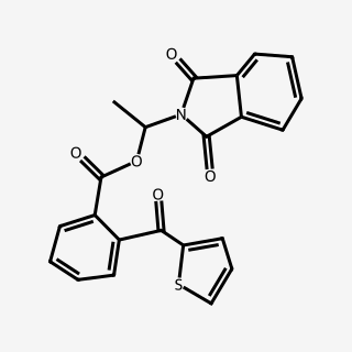 CC(OC(=O)c1ccccc1C(=O)c1cccs1)N1C(=O)c2ccccc2C1=O